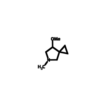 COC1CN(C)CC12CC2